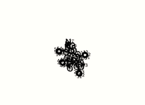 CO[C@H]1OC(COC(=O)c2ccccc2)[C@@H](O[C@@H]2OC3[C@@H](OC(C)=O)C(OCc4ccccc4)C3(COC(C)=O)C2OC(=O)c2ccccc2)C(OCc2ccccc2)C1N=[N+]=[N-]